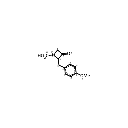 COc1ccc(CC2C(=O)CN2C(=O)O)cc1